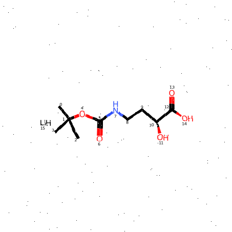 CC(C)(C)OC(=O)NCC[C@H](O)C(=O)O.[LiH]